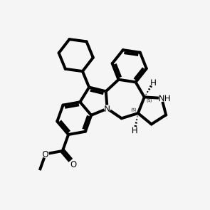 COC(=O)c1ccc2c(C3CCCCC3)c3n(c2c1)C[C@@H]1CCN[C@@H]1c1ccccc1-3